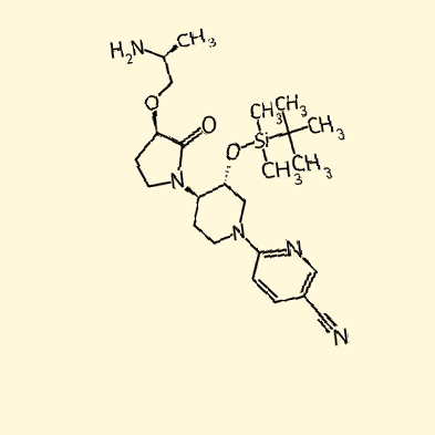 C[C@H](N)CO[C@@H]1CCN([C@@H]2CCN(c3ccc(C#N)cn3)C[C@H]2O[Si](C)(C)C(C)(C)C)C1=O